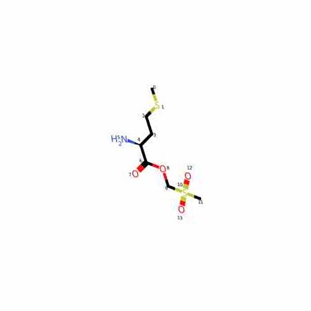 CSCC[C@H](N)C(=O)OCS(C)(=O)=O